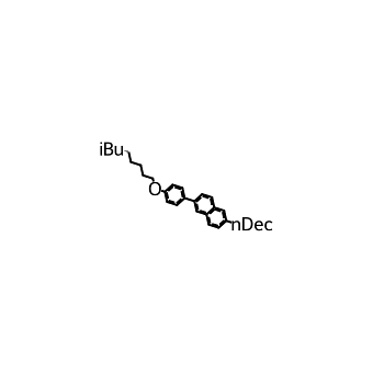 CCCCCCCCCCc1ccc2cc(-c3ccc(OCCCCC[C@@H](C)CC)cc3)ccc2c1